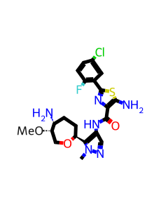 CO[C@H]1CO[C@H](c2c(NC(=O)c3nc(-c4cc(Cl)ccc4F)sc3N)cnn2C)CC[C@H]1N